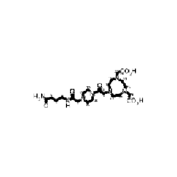 NC(=O)CCCNC(=O)CN1CCN(C(=O)CN2CCN(CC(=O)O)CCN(CC(=O)O)CC2)CC1